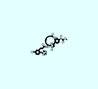 COC(=O)Nc1ccc2c(c1)NC(=O)CCC=CCC(NC(=O)C=Cc1cc(Cl)ccc1-n1cnnn1)c1nc-2c[nH]1